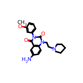 COc1cccc(-n2c(=O)c3cc(N)ccc3n(CCN3CCCCC3)c2=O)c1